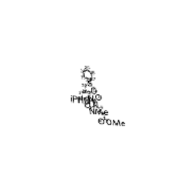 CNC(=O)N(CCCC(=O)OC)C(=O)N(O)C(=O)[C@H](CCC(C)C)CSc1ccccc1